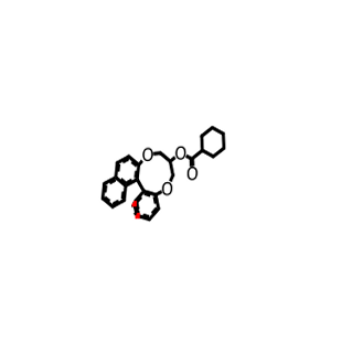 O=C(OC1COc2ccc3ccccc3c2-c2c(ccc3ccccc23)OC1)C1CCCCC1